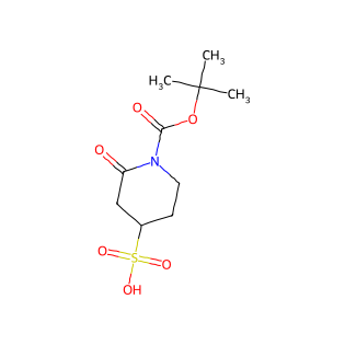 CC(C)(C)OC(=O)N1CCC(S(=O)(=O)O)CC1=O